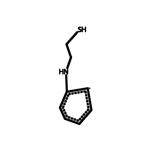 SCCNc1[c]cccc1